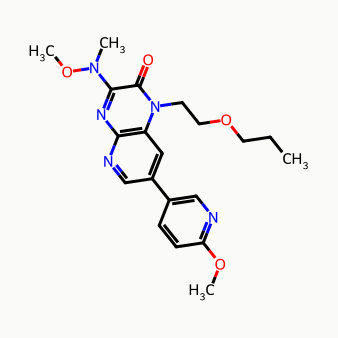 CCCOCCn1c(=O)c(N(C)OC)nc2ncc(-c3ccc(OC)nc3)cc21